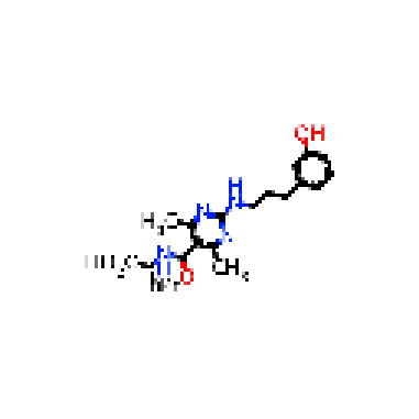 CCC[C@H](NC(=O)c1c(C)nc(NCCCc2cccc(O)c2)nc1C)C(=O)O